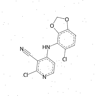 N#Cc1c(Nc2c(Cl)ccc3c2OCO3)ccnc1Cl